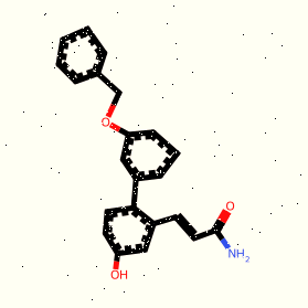 NC(=O)C=Cc1cc(O)ccc1-c1cccc(OCc2ccccc2)c1